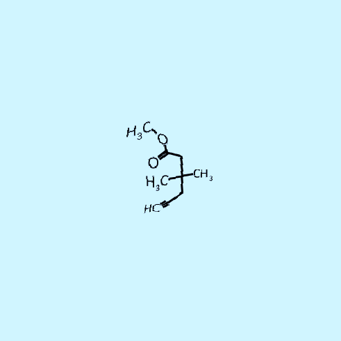 C#CCC(C)(C)CC(=O)OC